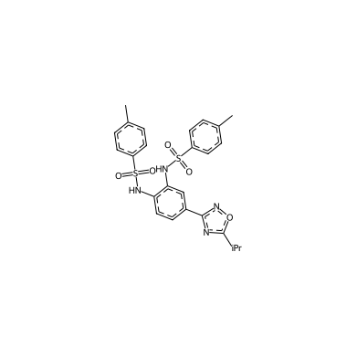 Cc1ccc(S(=O)(=O)Nc2ccc(-c3noc(C(C)C)n3)cc2NS(=O)(=O)c2ccc(C)cc2)cc1